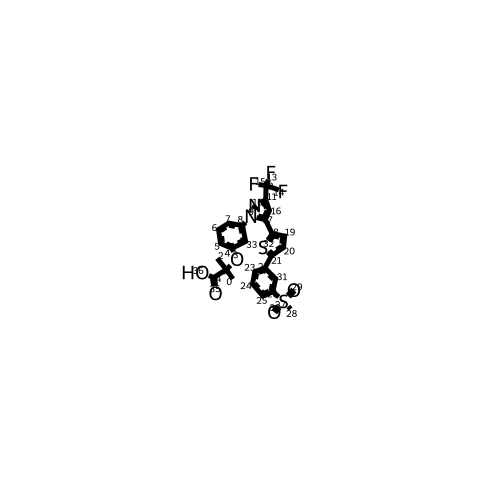 CC(C)(Oc1cccc(-n2nc(C(F)(F)F)cc2-c2ccc(-c3cccc(S(C)(=O)=O)c3)s2)c1)C(=O)O